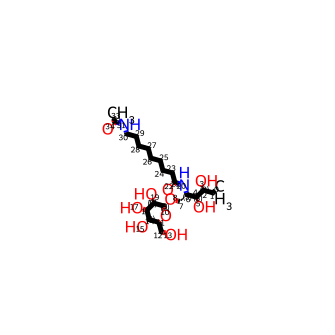 CC[C@@H](O)[C@@H](O)[C@H](CO[C@H]1OC(CO)[C@H](O)C(O)[C@H]1O)NC(=O)CCCCCCCCNC(C)=O